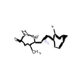 CC1CC(=O)NNC1/C=C/c1ccccc1F